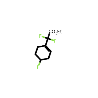 CCOC(=O)C(F)(F)C1=CCC(F)CC1